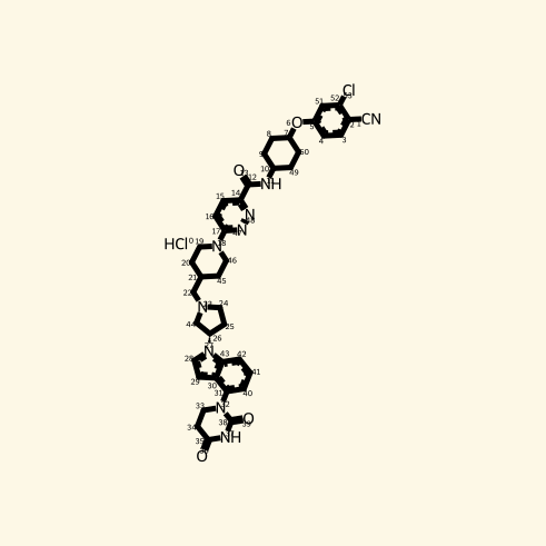 Cl.N#Cc1ccc(OC2CCC(NC(=O)c3ccc(N4CCC(CN5CC[C@H](n6ccc7c(N8CCC(=O)NC8=O)cccc76)C5)CC4)nn3)CC2)cc1Cl